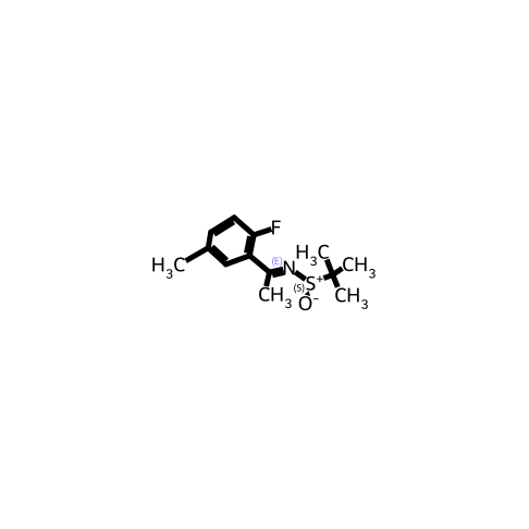 C/C(=N\[S@+]([O-])C(C)(C)C)c1cc(C)ccc1F